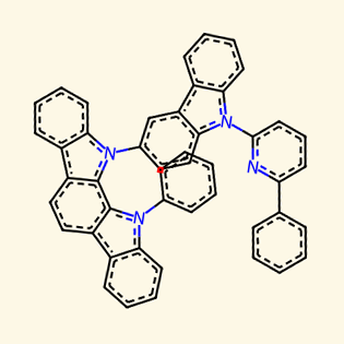 c1ccc(-c2cccc(-n3c4ccccc4c4cc(-n5c6ccccc6c6ccc7c8ccccc8n(-c8ccccc8)c7c65)ccc43)n2)cc1